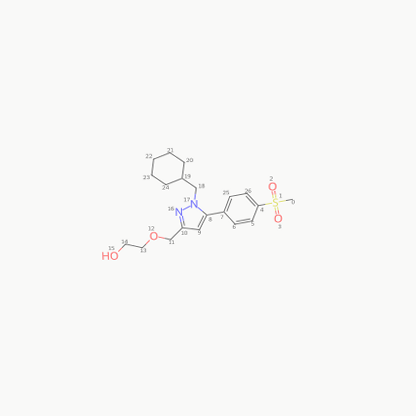 CS(=O)(=O)c1ccc(-c2cc(COCCO)nn2CC2CCCCC2)cc1